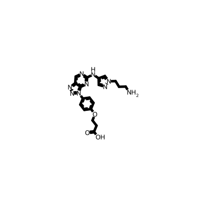 NCCCn1cc(Nc2ncc3nnn(-c4ccc(OCCC(=O)O)cc4)c3n2)cn1